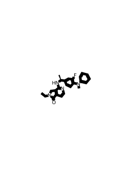 CCN1Cc2c(ccnc2N[C@@H](C)c2ccc(N(C)c3ccccc3)c(F)c2)C1=O